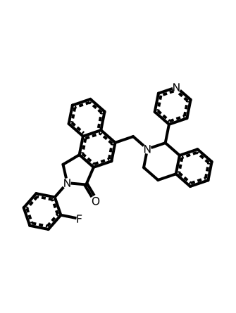 O=C1c2cc(CN3CCc4ccccc4C3c3ccncc3)c3ccccc3c2CN1c1ccccc1F